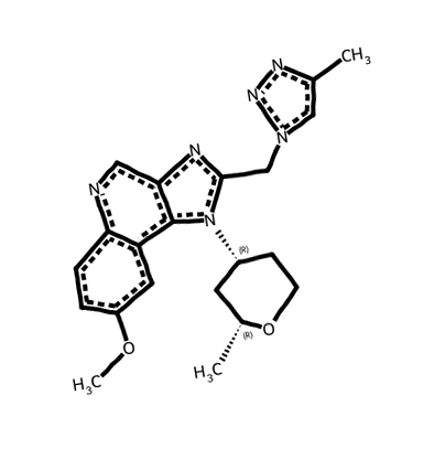 COc1ccc2ncc3nc(Cn4cc(C)nn4)n([C@@H]4CCO[C@H](C)C4)c3c2c1